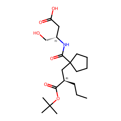 CCC[C@H](CC1(C(=O)N[C@H](CO)CC(=O)O)CCCC1)C(=O)OC(C)(C)C